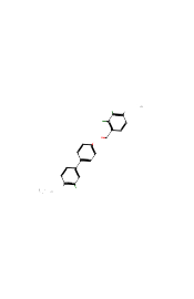 CCCCCc1ccc(COc2ccc(-c3ccc(OC)c(F)c3)cc2)c(F)c1F